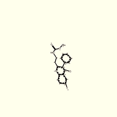 CC(C)(C)OC(=O)NCCc1nc2ccc(F)cc2c(Cl)c1-c1ccccc1